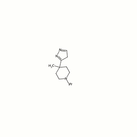 CC(C)N1CCC(C)(C2=NN=CC2)CC1